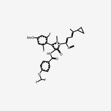 C=N/C(=C\C=C(/C)C1CC1)n1c(=O)c(NC(=O)c2ccc(OC(F)F)cc2)c(-c2c(F)cc(OC)cc2F)n1C